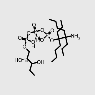 CCCCC(N)(CCC)C(CCC)(CCCC)OP(=O)(O)OP(=O)(O)OP(=O)(O)OC[C@@H](O)C(O)CC